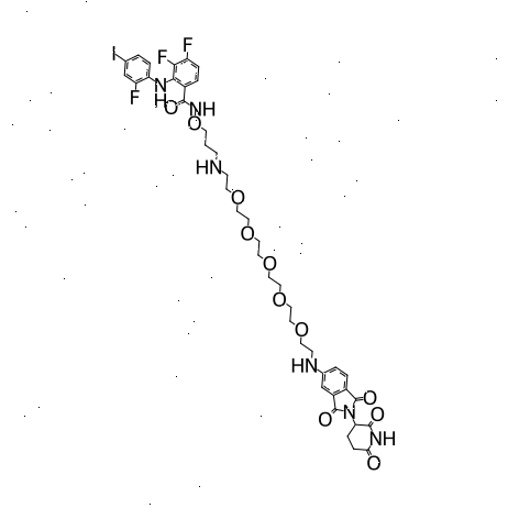 O=C1CCC(N2C(=O)c3ccc(NCCOCCOCCOCCOCCOCCNCCCONC(=O)c4ccc(F)c(F)c4Nc4ccc(I)cc4F)cc3C2=O)C(=O)N1